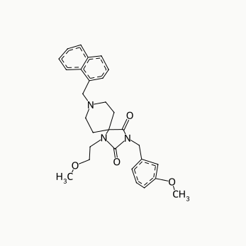 COCCN1C(=O)N(Cc2cccc(OC)c2)C(=O)C12CCN(Cc1cccc3ccccc13)CC2